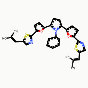 N#CC(C#N)=Cc1cnc(-c2ccc(-c3ccc(-c4ccc(-c5ncc(C=C(C#N)C#N)s5)o4)n3-c3ccccc3)o2)s1